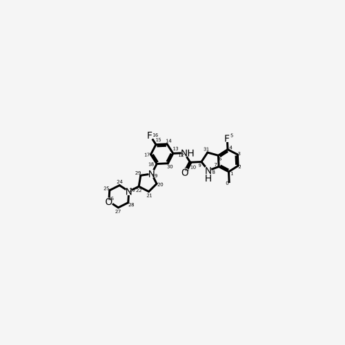 Cc1ccc(F)c2c1NC(C(=O)Nc1cc(F)cc(N3CCC(N4CCOCC4)C3)c1)C2